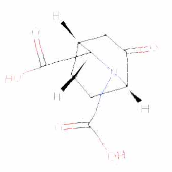 O=C(O)[C@@H]1[C@@H]2CC[C@@H](C(=O)C2)N1C(=O)O